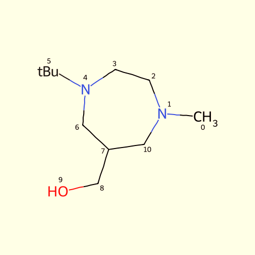 CN1CCN(C(C)(C)C)CC(CO)C1